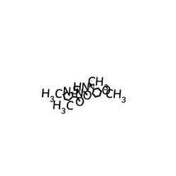 COc1cccc([C@@H](C)NC(=O)n2sc3nc(C)cc(C)c3c2=O)c1